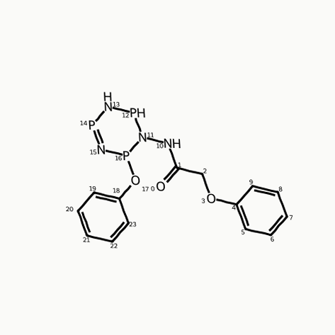 O=C(COc1ccccc1)Nn1[pH][nH]pnp1Oc1ccccc1